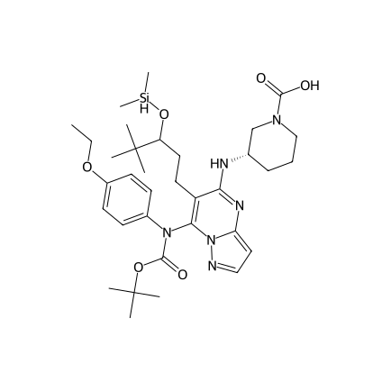 CCOc1ccc(N(C(=O)OC(C)(C)C)c2c(CCC(O[SiH](C)C)C(C)(C)C)c(N[C@H]3CCCN(C(=O)O)C3)nc3ccnn23)cc1